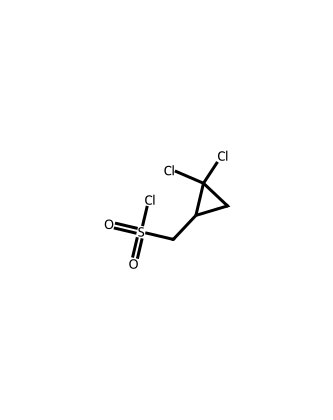 O=S(=O)(Cl)CC1CC1(Cl)Cl